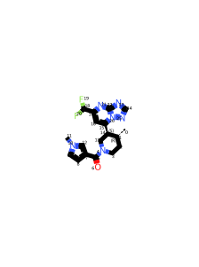 C[C@@H]1CCN(C(=O)c2ccn(C)c2)C[C@H]1c1cc(C(F)F)nc2ncnn12